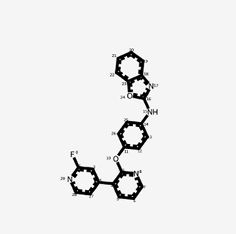 Fc1cc(-c2cccnc2Oc2ccc(Nc3nc4ccccc4o3)cc2)ccn1